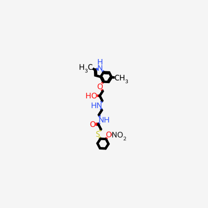 Cc1cc(OCC(O)CNCCNC(=O)CSC2CCCCC2O[N+](=O)[O-])c2cc(C)[nH]c2c1